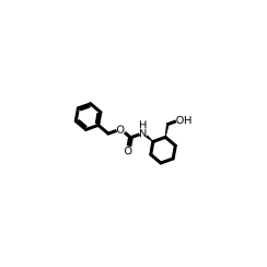 O=C(N[C@@H]1CCCC[C@@H]1CO)OCc1ccccc1